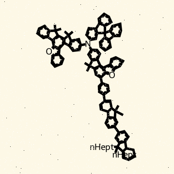 CCCCCCCC1(CCCCCCC)C2=CC=CCC2c2ccc(-c3ccc4c(c3)C(C)(C)C3C=C(c5ccc(-c6cc7c(c8c6oc6ccccc68)-c6ccc(N(c8ccc9c(c8)C(C)(C)c8c%10c(c%11oc%12ccccc%12c%11c8-9)-c8ccccc8C%10(C)C)c8ccc9c(c8)C8(c%10ccccc%10-c%10ccccc%108)c8ccccc8-9)cc6C7(C)C)cc5)C=CC43)cc21